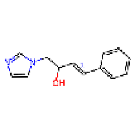 OC(/C=C/c1ccccc1)Cn1ccnc1